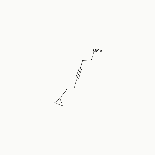 COCCC#CCCC1[CH]C1